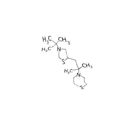 CC(C)(C)N1CSC(CC(C)(C)N2CCSCC2)C1